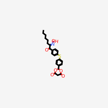 CCCCCCC(=NO)C(=O)c1ccc(Sc2ccc(C3OC(=O)CC(=O)O3)cc2)cc1